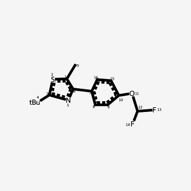 Cc1sc(C(C)(C)C)nc1-c1ccc(OC(F)F)cc1